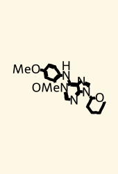 COc1ccc(Nc2ncnc3c2ncn3C2CCCCO2)c(OC)c1